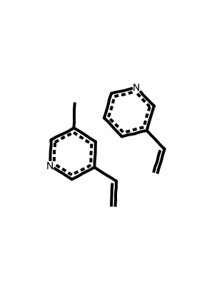 C=Cc1cccnc1.C=Cc1cncc(C)c1